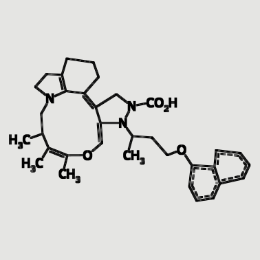 C/C1=C(\C)C(C)CN2CCC3=C2/C(=C2/CN(C(=O)O)N(C(C)CCOc4cccc5ccccc45)/C2=C/O1)CCC3